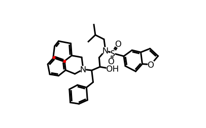 CC(C)CN(CC(O)C(Cc1ccccc1)N(Cc1ccccc1)Cc1ccccc1)S(=O)(=O)c1ccc2occc2c1